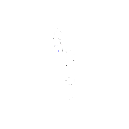 CCCCc1ccc(-c2nnc(-c3cccc(-c4nnc(-c5ccccc5)o4)c3)o2)cc1